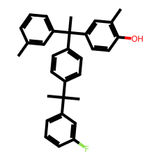 Cc1cccc(C(C)(c2ccc(C(C)(C)c3cccc(F)c3)cc2)c2ccc(O)c(C)c2)c1